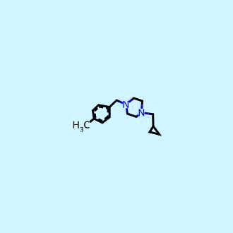 Cc1ccc(CN2CCN(CC3CC3)CC2)cc1